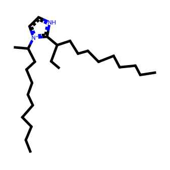 CCCCCCCCCC(CC)c1[nH]cc[n+]1C(C)CCCCCCCCC